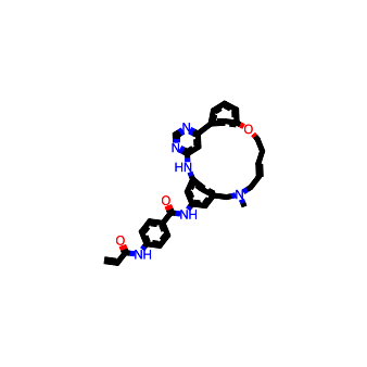 C=CC(=O)Nc1ccc(C(=O)Nc2cc3cc(c2)Nc2cc(ncn2)-c2cccc(c2)OCC/C=C/CN(C)C3)cc1